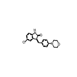 O=C1Nc2ccc(Cl)cc2C1=Cc1ccc(N2CCOCC2)cc1